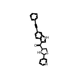 O=C(c1c[nH]c2cc(C#Cc3ccccc3)ccc12)C1CSC(c2cccnc2)N1